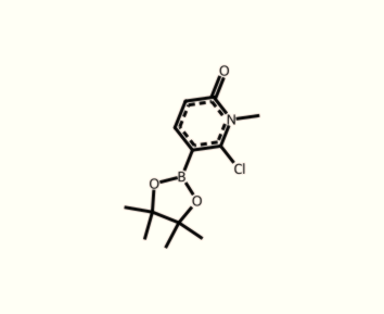 Cn1c(Cl)c(B2OC(C)(C)C(C)(C)O2)ccc1=O